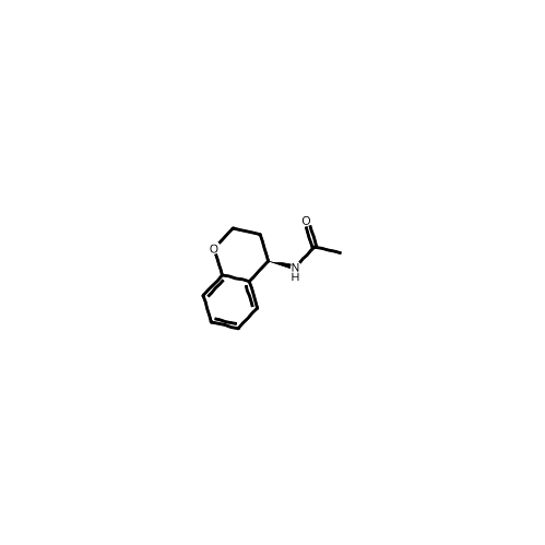 CC(=O)N[C@@H]1CCOc2ccccc21